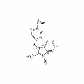 COc1ccc(Cn2c(C(=O)O)c(Br)c3ccccc32)cc1